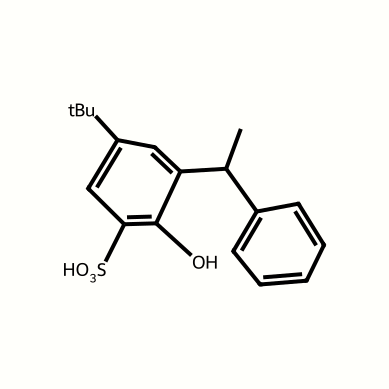 CC(c1ccccc1)c1cc(C(C)(C)C)cc(S(=O)(=O)O)c1O